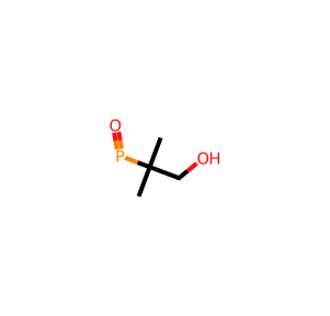 CC(C)(CO)P=O